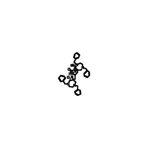 CC(C)(C)OC(=O)NC(CC1([N+](=O)[O-])CN(Cc2ccccc2)CCN(Cc2ccccc2)C1)CC1([N+](=O)[O-])CN(Cc2ccccc2)CCN(Cc2ccccc2)C1